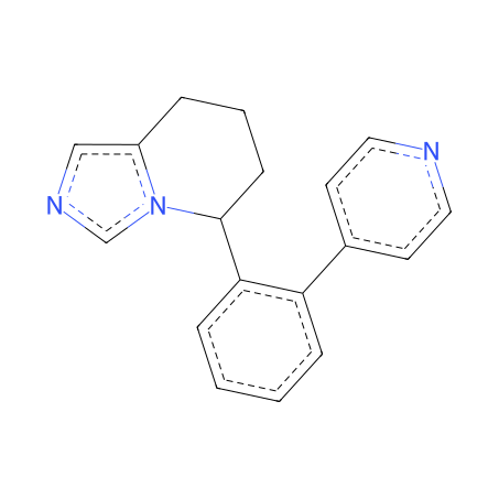 c1ccc(C2CCCc3cncn32)c(-c2ccncc2)c1